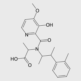 COc1ccnc(C(=O)N(C(C)C(=O)O)C(C)C(C)c2ccccc2C)c1O